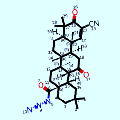 CC1(C)CC[C@]2(C(=O)N=[N+]=[N-])CC[C@]3(C)[C@H](C(=O)C[C@@H]4[C@@]5(C)C=C(C#N)C(=O)C(C)(C)[C@@H]5CC[C@]43C)[C@@H]2C1